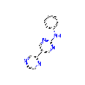 c1ccc(Nc2ncc(-c3cnccn3)cn2)cc1